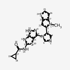 Cn1c(-c2cncn2-c2n[nH]c3nc(NC(=O)C4CC4)sc23)cc2sccc21